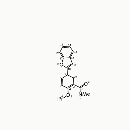 CNC(=O)C1=C(OC(C)C)C=CC(c2cc3ccccc3o2)C1